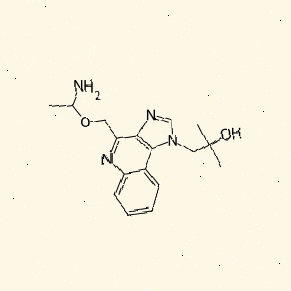 CC(N)OCc1nc2ccccc2c2c1ncn2CC(C)(C)O